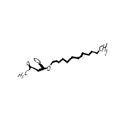 CCCCCCCCCCCOC(=O)CC(C)=O